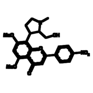 COc1cc(OC)c2c(=O)cc(-c3ccc([N+](=O)[O-])cc3)oc2c1C1CCN(C)C1CO